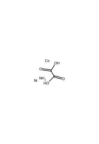 N.O=C(O)C(=O)O.[Co].[Ni]